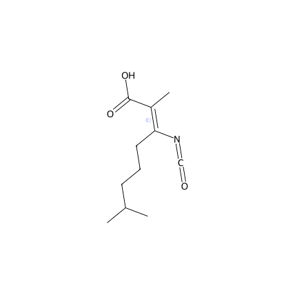 C/C(C(=O)O)=C(/CCCC(C)C)N=C=O